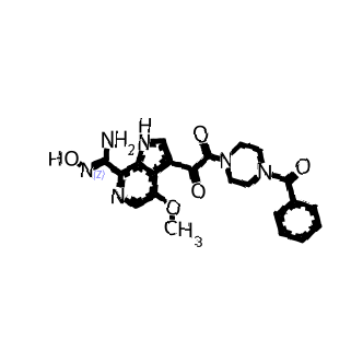 COc1cnc(/C(N)=N/O)c2[nH]cc(C(=O)C(=O)N3CCN(C(=O)c4ccccc4)CC3)c12